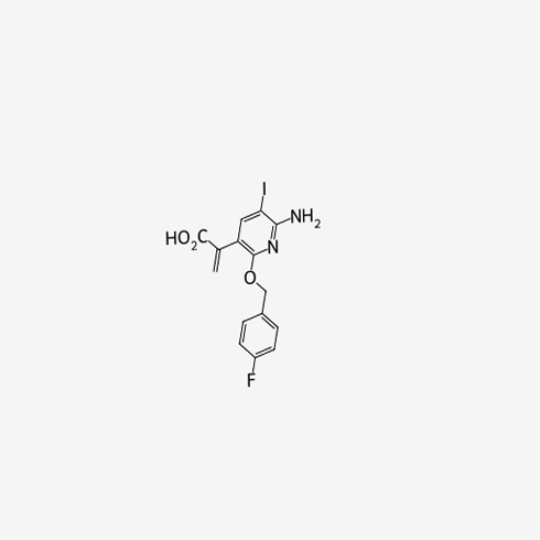 C=C(C(=O)O)c1cc(I)c(N)nc1OCc1ccc(F)cc1